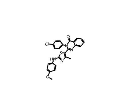 COc1ccc(Nc2nc(C)c(-c3nc4ccccc4c(=O)n3-c3ccc(Cl)cc3)s2)cc1